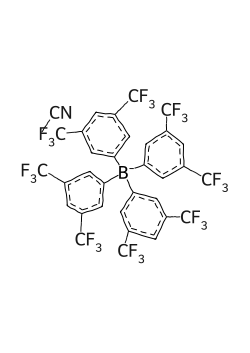 CC#N.FC(F)(F)c1cc([B-](c2cc(C(F)(F)F)cc(C(F)(F)F)c2)(c2cc(C(F)(F)F)cc(C(F)(F)F)c2)c2cc(C(F)(F)F)cc(C(F)(F)F)c2)cc(C(F)(F)F)c1